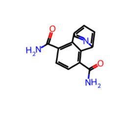 NC(=O)c1ccc(C(N)=O)c2c3ccc(cn3)c12